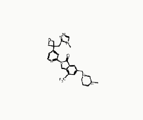 C[C@H]1CCCN(Cc2cc3c(c(C(F)(F)F)c2)CN(c2cc(C4(Cc5nncn5C)COC4)ccn2)C3=O)C1